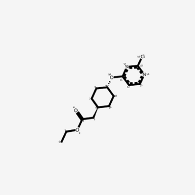 CCOC(=O)C[C@H]1CC[C@H](Oc2ccnc(Cl)n2)CC1